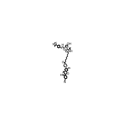 CCc1cc2c(cc1N1CCN(C(=O)CCCCCCCC(=O)NC(C(=O)N3C[C@H](O)C[C@H]3C(=O)NCc3ccc(-c4scnc4C)cc3)C(C)(C)C)CC1)C(C)(C)c1[nH]c3cc(C#N)ccc3c1C2=O